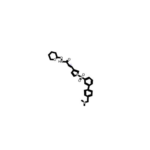 CN(C)Cc1ccc(-c2cccc(S(=O)(=O)n3ccc(/C=C/C(=O)NOC4CCCCO4)c3)c2)cc1